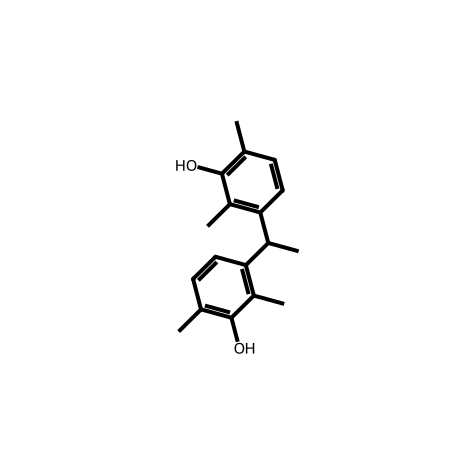 Cc1ccc(C(C)c2ccc(C)c(O)c2C)c(C)c1O